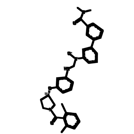 Cc1cccc(C)c1C(=O)N1CC[C@H](Oc2cccc(NC[S+]([O-])c3cccc(-c4cccc(C(=O)N(C)C)c4)c3)c2)C1